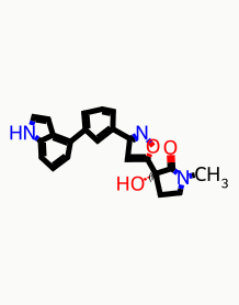 CN1CC[C@@](O)(c2cc(-c3cccc(-c4cccc5[nH]ccc45)c3)no2)C1=O